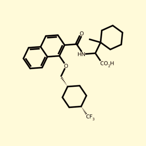 CC1(C(NC(=O)c2ccc3ccccc3c2OC[C@H]2CC[C@@H](C(F)(F)F)CC2)C(=O)O)CCCCC1